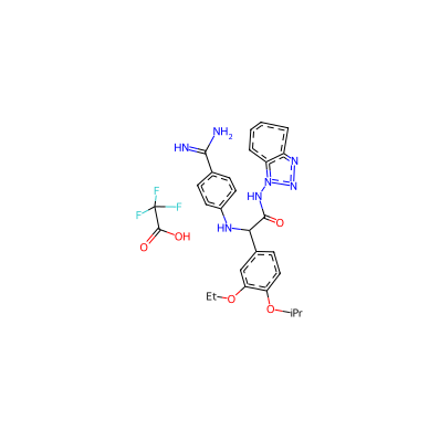 CCOc1cc(C(Nc2ccc(C(=N)N)cc2)C(=O)Nn2nnc3ccccc32)ccc1OC(C)C.O=C(O)C(F)(F)F